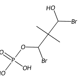 CC(C)(C(O)Br)C(Br)OP(=O)(O)O